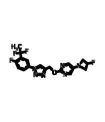 CC(F)(F)c1cc(-n2cc(COc3ncc(N4CC(F)C4)cn3)nn2)ccc1F